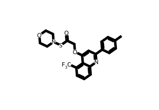 Cc1ccc(-c2cc(OCC(=O)SN3CCOCC3)c3c(C(F)(F)F)cccc3n2)cc1